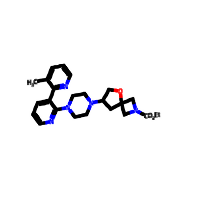 CCOC(=O)N1CC2(CC(N3CCN(c4ncccc4-c4ncccc4C)CC3)CO2)C1